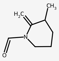 C=C1C(C)CCCN1C=O